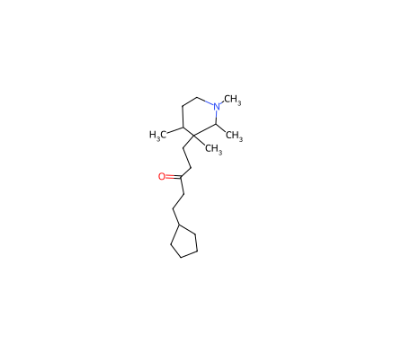 CC1CCN(C)C(C)C1(C)CCC(=O)CCC1CCCC1